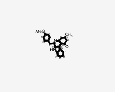 COc1ccc(Cc2nc3c(c4c2[nH]c2ccccc24)C(=O)CC(C)C3)cc1